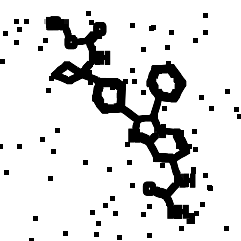 CC(C)(C)OC(=O)NC1(c2ccc(C3N=C4C=C(NC(N)=O)C=CN4C3c3ccccc3)cc2)CCC1